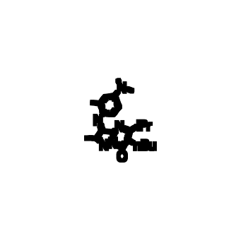 CCCCc1c(C(C)C)nc2n(c1=O)N=C(C)C2=Nc1ccc(N(C)C)cc1C